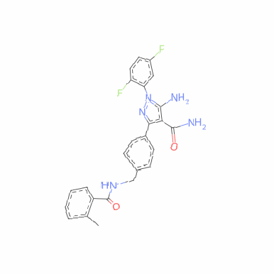 Cc1ccccc1C(=O)NCc1ccc(-c2nn(-c3cc(F)ccc3F)c(N)c2C(N)=O)cc1